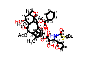 CC(=O)O[C@H]1C(=O)[C@@]2(C)[C@H]([C@H](OC(=O)c3ccccc3)[C@]3(O)C[C@H](OC(=O)[C@H](O)[C@@H](NC(=O)SC(C)(C)C)c4ccco4)C(C)=C1C3(C)C)[C@]1(OC(C)=O)OC[C@@H]1C[C@@H]2O